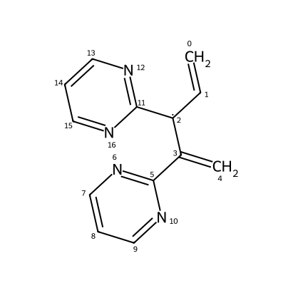 C=C[C](C(=C)c1ncccn1)c1ncccn1